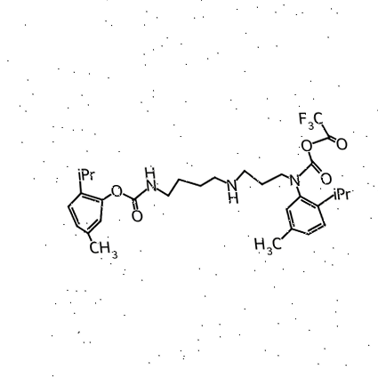 Cc1ccc(C(C)C)c(OC(=O)NCCCCNCCCN(C(=O)OC(=O)C(F)(F)F)c2cc(C)ccc2C(C)C)c1